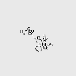 CCc1ccccc1C(CCCCOS(C)(=O)=O)(NC(C)=O)C(N)=O